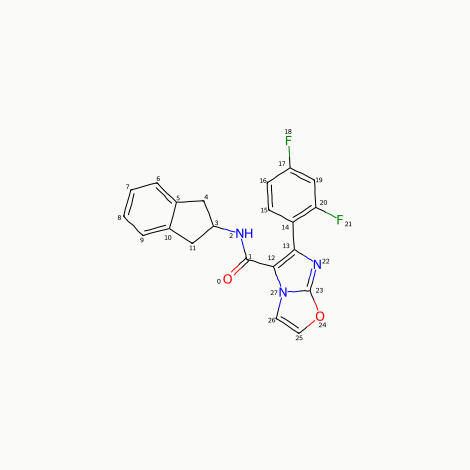 O=C(NC1Cc2ccccc2C1)c1c(-c2ccc(F)cc2F)nc2occn12